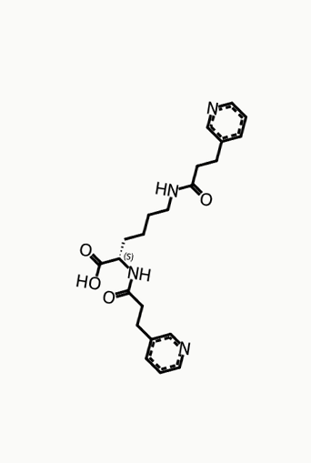 O=C(CCc1cccnc1)NCCCC[C@H](NC(=O)CCc1cccnc1)C(=O)O